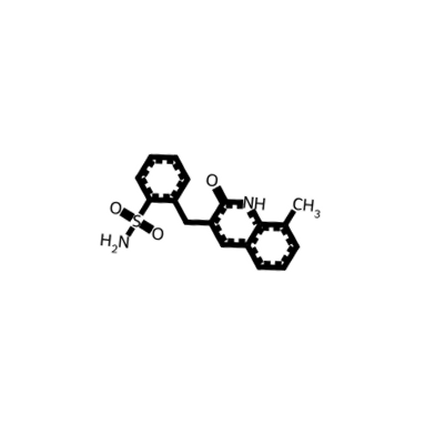 Cc1cccc2cc(Cc3ccccc3S(N)(=O)=O)c(=O)[nH]c12